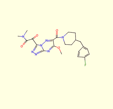 COc1nc2nnc(C(=O)C(=O)N(C)C)n2nc1C(=O)N1CCC(Cc2ccc(F)cc2)CC1